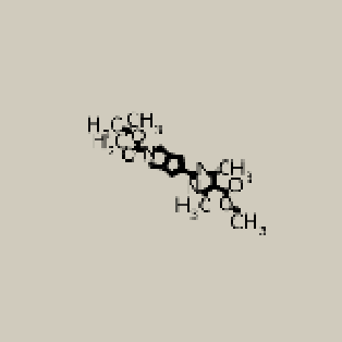 CCOC(=O)c1c(C)nc(C2=CC3CN(C(=O)OC(C)(C)C)CC3C2)nc1C